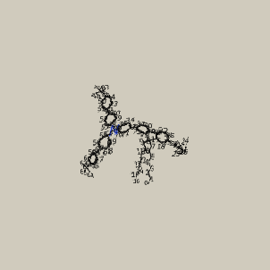 CCCCCCCCC1(CCCCCCCC)c2cc(C#C[Si](C)(C)C)ccc2-c2ccc(-c3ccc(N(c4ccc(-c5ccc(C(C)(C)C)cc5)cc4)c4ccc(-c5ccc(C(C)(C)C)cc5)cc4)cc3)cc21